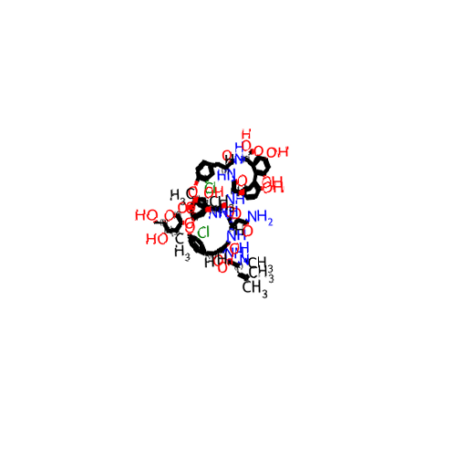 CN[C@H](CC(C)C)C(=O)N[C@H]1C(=O)N[C@@H](CC(N)=O)C(=O)N[C@H]2C(=O)N[C@H]3C(=O)N[C@@H](Cc4ccc(c(Cl)c4)Oc4cc2cc(c4O[C@@H]2O[C@H](CO)[C@@H](O)[C@H](C)C2O[C@H]2C[C@](C)(N)[C@H](O)[C@H](C)O2)Oc2ccc(cc2Cl)[C@H]1O)C(=O)N[C@H](C(=O)O)c1cc(O)cc(O)c1-c1cc3ccc1O